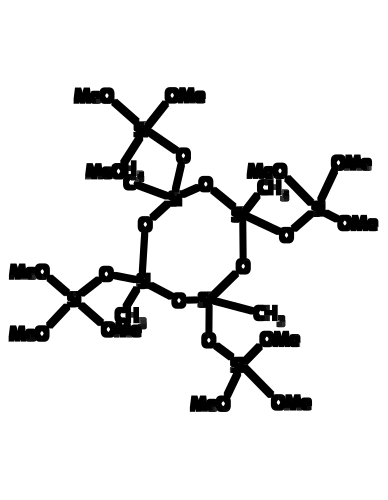 CO[Si](OC)(OC)O[Si]1(C)O[Si](C)(O[Si](OC)(OC)OC)O[Si](C)(O[Si](OC)(OC)OC)O[Si](C)(O[Si](OC)(OC)OC)O1